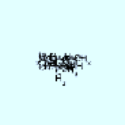 CC1=C2C[C@H]3[C@@H](CC[C@@H]4CCCC[C@@]43C)[C@@H]2CCC2(C1)O[C@@H]1C[C@H](C)CN[C@H]1[C@H]2C